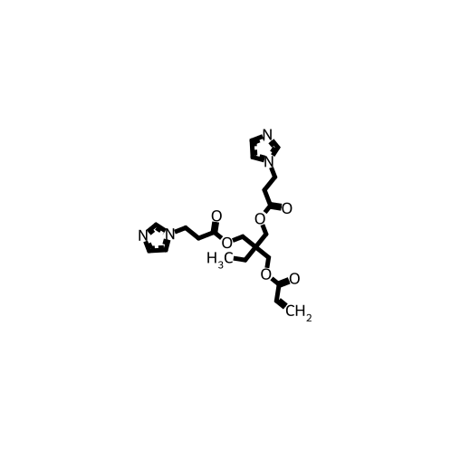 C=CC(=O)OCC(CC)(COC(=O)CCn1ccnc1)COC(=O)CCn1ccnc1